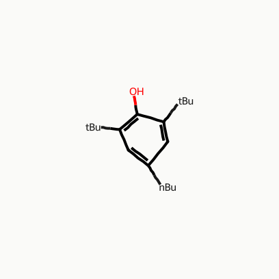 C[CH]CCc1cc(C(C)(C)C)c(O)c(C(C)(C)C)c1